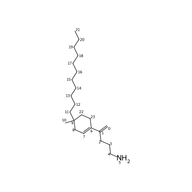 C=C(CCCN)C1=CCC(C)(CCCCCCCCCCC)CC1